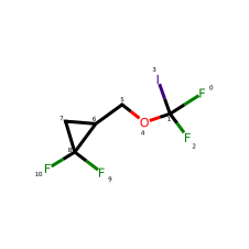 FC(F)(I)OCC1CC1(F)F